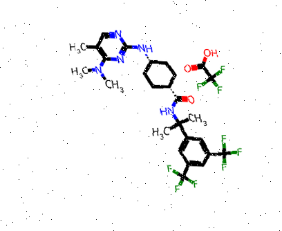 Cc1cnc(N[C@H]2CC[C@@H](C(=O)NC(C)(C)c3cc(C(F)(F)F)cc(C(F)(F)F)c3)CC2)nc1N(C)C.O=C(O)C(F)(F)F